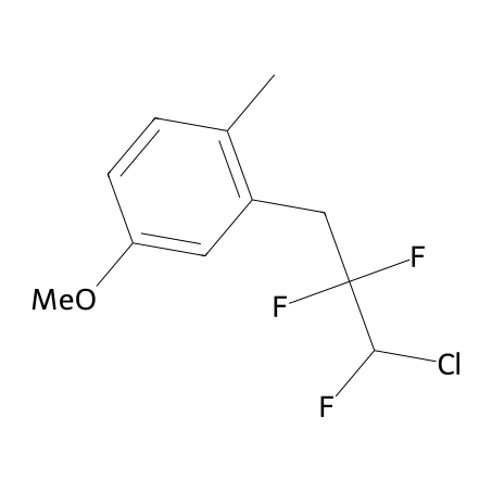 COc1ccc(C)c(CC(F)(F)C(F)Cl)c1